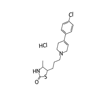 CC1NC(=O)SC1CCCN1CC=C(c2ccc(Cl)cc2)CC1.Cl